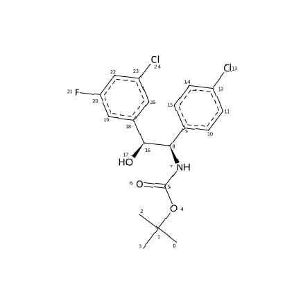 CC(C)(C)OC(=O)N[C@H](c1ccc(Cl)cc1)[C@@H](O)c1cc(F)cc(Cl)c1